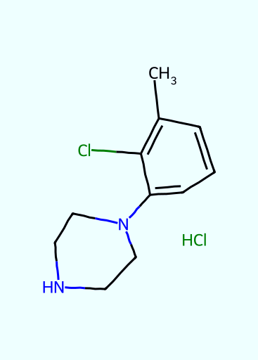 Cc1cccc(N2CCNCC2)c1Cl.Cl